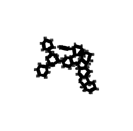 N#Cc1ccc#cc1-c1cc(-c2nc(-c3ccccc3)nc(-c3ccccc3)n2)ccc1-n1c2c(c3cc4c(cc31)sc1ccccc14)C=CCC2